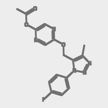 CC(=O)Oc1cnc(OCc2c(C)nnn2-c2ccc(F)cc2)cn1